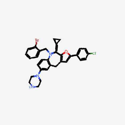 Clc1ccc(-c2cc3c(o2)C(=C2CC2)N(Cc2ccccc2Br)c2ccc(N4CCNCC4)cc2C3)cc1